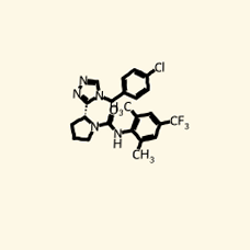 Cc1cc(C(F)(F)F)cc(C)c1NC(=O)N1CCC[C@@H]1c1nncn1Cc1ccc(Cl)cc1